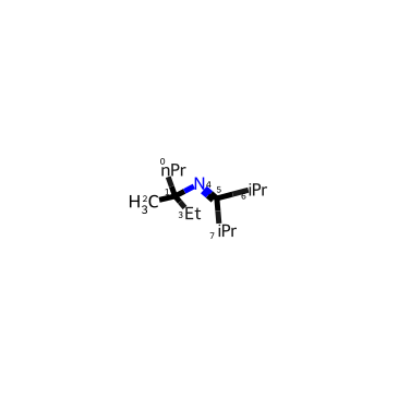 CCCC(C)(CC)N=C(C(C)C)C(C)C